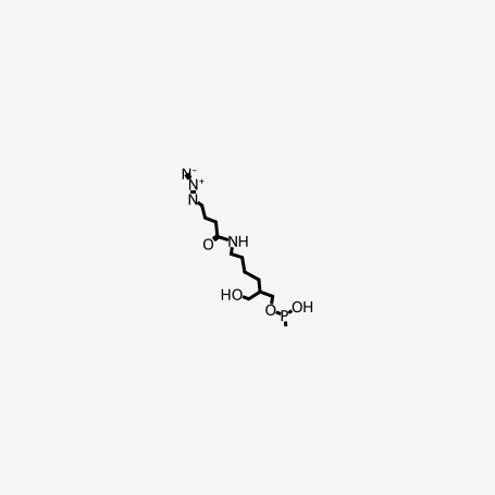 CP(O)OCC(CO)CCCCNC(=O)CCCN=[N+]=[N-]